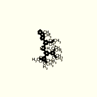 CCCC(C)(C)c1cc(-c2cncc(-c3cc(-c4cc(C(C)(C)C)cc(C(C)(C)C)c4)cc(-c4cc(C(C)(C)C)cc(C(C)(C)C)c4)c3)c2)cc(-c2ccc3c(c2)C(C)(C)c2ccccc2-3)c1